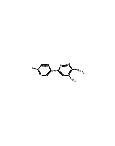 Cc1cc(-c2ccc(F)cc2)nnc1N